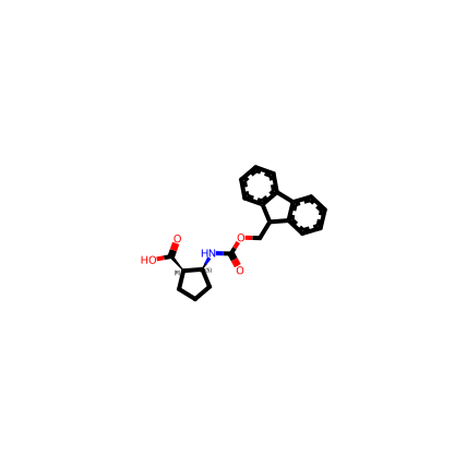 O=C(N[C@H]1CCC[C@H]1C(=O)O)OCC1c2ccccc2-c2ccccc21